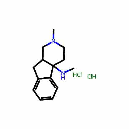 CNC12CCN(C)CC1Cc1ccccc12.Cl.Cl